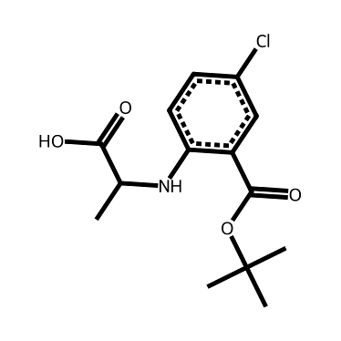 CC(Nc1ccc(Cl)cc1C(=O)OC(C)(C)C)C(=O)O